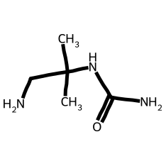 CC(C)(CN)NC(N)=O